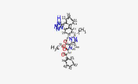 CCCc1nc2c(n1Cc1ccc(-c3ccccc3-c3nnn[nH]3)cc1)C(C(=O)OCC)N(C(=O)CC(=O)c1ccccc1)CC2